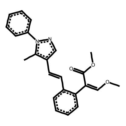 COC=C(C(=O)OC)c1ccccc1C=Cc1cnn(-c2ccccc2)c1C